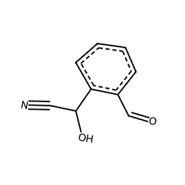 N#CC(O)c1ccccc1C=O